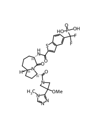 COC1(c2nncn2C)CN(C(=O)[C@@H]2CC[C@@H]3CCC[C@H](NC(=O)c4cc5cc(C(F)(F)P(=O)(O)O)ccc5s4)C(=O)N32)C1